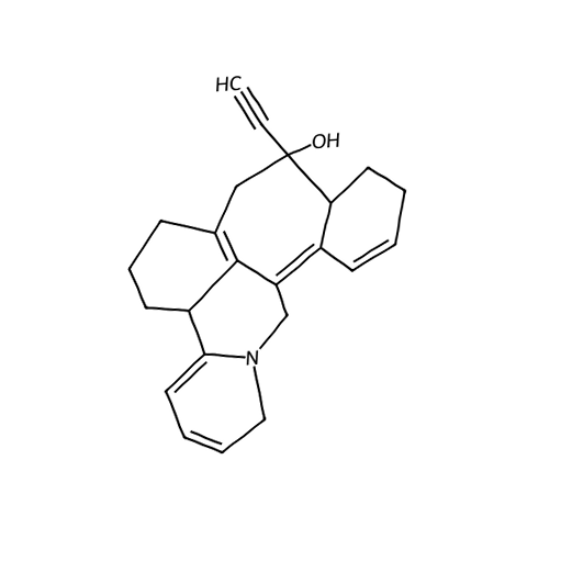 C#CC1(O)CC2=C3C(=C4C=CCCC41)CN1CC=CC=C1C3CCC2